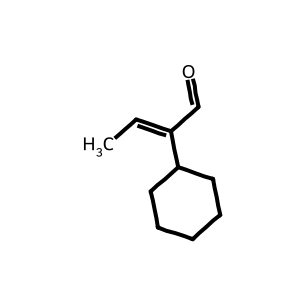 C/C=C(/C=O)C1CCCCC1